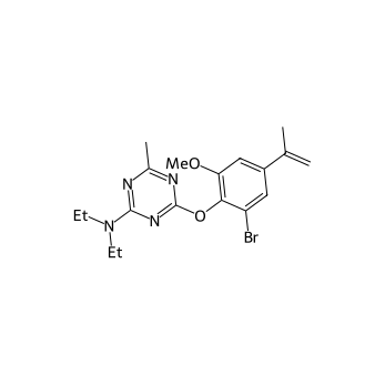 C=C(C)c1cc(Br)c(Oc2nc(C)nc(N(CC)CC)n2)c(OC)c1